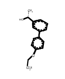 C[C@@H](O)c1cccc(-c2ccc(OCC(=O)O)cc2)c1